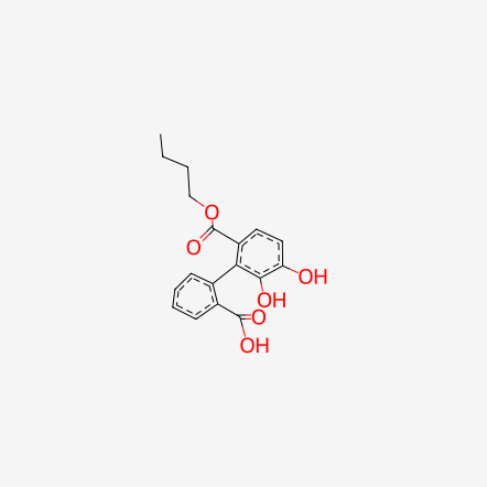 CCCCOC(=O)c1ccc(O)c(O)c1-c1ccccc1C(=O)O